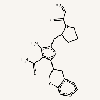 C=CC(=O)N1CCCC1Cn1nc(C2COc3ccccc3C2)c(C(N)=O)c1N